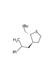 CC(C)C(C)C[C@@H]1CCS[C@H]1CC(C)(C)C